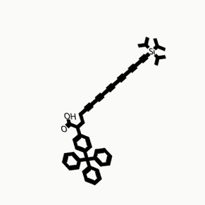 CC(C)[Si](C#CC#CC#CC#CC#CC#CCCC(C(=O)O)c1ccc(C(c2ccccc2)(c2ccccc2)c2ccccc2)cc1)(C(C)C)C(C)C